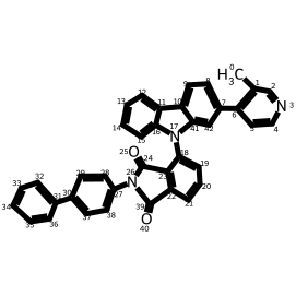 Cc1cnccc1-c1ccc2c3ccccc3n(-c3cccc4c3C(=O)N(c3ccc(-c5ccccc5)cc3)C4=O)c2c1